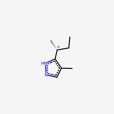 CC[C@@H](C)c1[nH]ncc1C